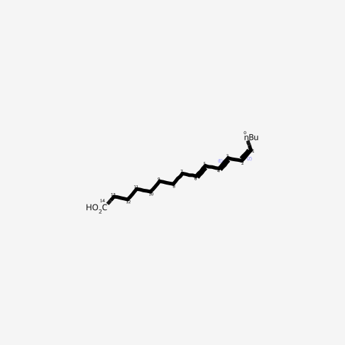 CCCC/C=C\C=C\C=CCCCCCCCC(=O)O